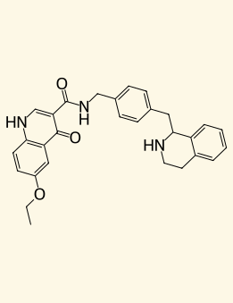 CCOc1ccc2[nH]cc(C(=O)NCc3ccc(CC4NCCc5ccccc54)cc3)c(=O)c2c1